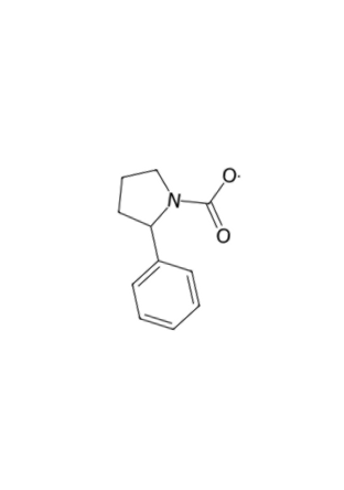 [O]C(=O)N1CCCC1c1ccccc1